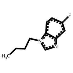 CCCCn1cnc2cc(F)ccc21